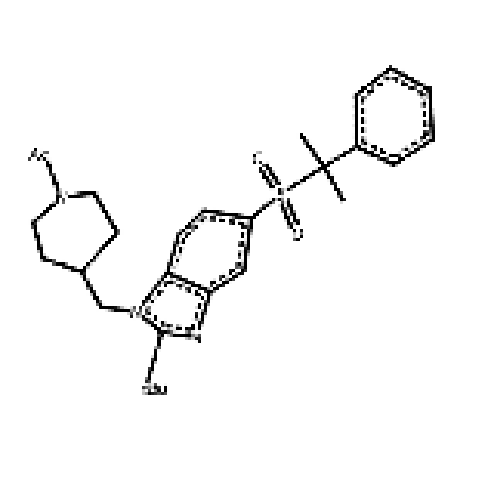 CC(=O)N1CCC(Cn2c(C(C)(C)C)nc3cc(S(=O)(=O)C(C)(C)c4ccccc4)ccc32)CC1